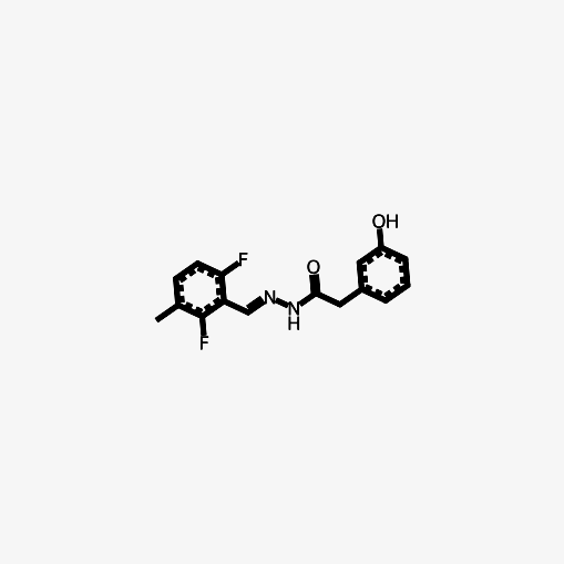 Cc1ccc(F)c(/C=N/NC(=O)Cc2cccc(O)c2)c1F